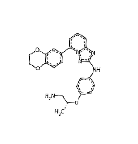 C[C@H](CN)Oc1ccc(Nc2nc3cccc(-c4ccc5c(c4)OCCO5)n3n2)cc1